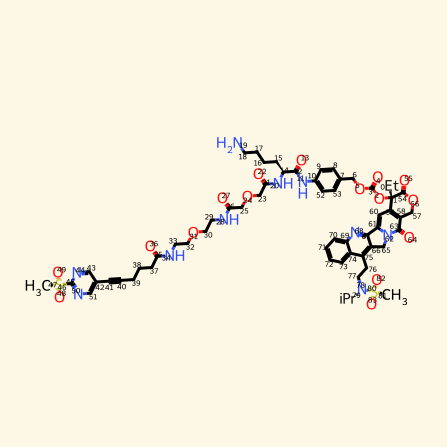 CC[C@@]1(OC(=O)OCc2ccc(NC(=O)[C@H](CCCCN)NC(=O)COCC(=O)NCCOCCNC(=O)CCCC#Cc3cnc(S(C)(=O)=O)nc3)cc2)C(=O)OCc2c1cc1n(c2=O)Cc2c-1nc1ccccc1c2CCN(C(C)C)S(C)(=O)=O